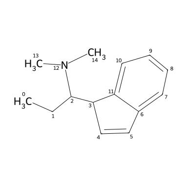 CCC(C1C=Cc2ccccc21)N(C)C